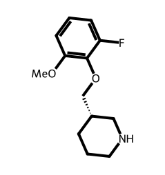 COc1cccc(F)c1OC[C@H]1CCCNC1